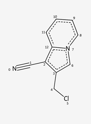 N#Cc1c(CCl)cn2ccccc12